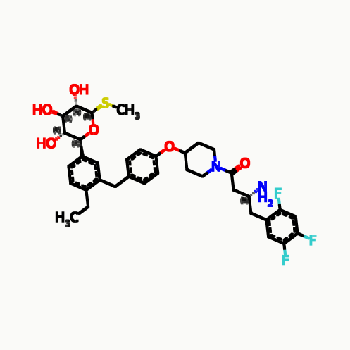 CCc1ccc([C@@H]2O[C@H](SC)[C@@H](O)[C@H](O)[C@H]2O)cc1Cc1ccc(OC2CCN(C(=O)C[C@H](N)Cc3cc(F)c(F)cc3F)CC2)cc1